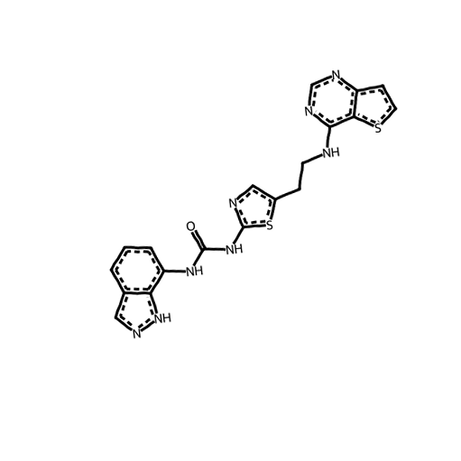 O=C(Nc1ncc(CCNc2ncnc3ccsc23)s1)Nc1cccc2cn[nH]c12